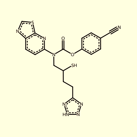 N#Cc1ccc(OC(=O)N(CC(S)CCc2nn[nH]n2)c2ccc3ncsc3n2)cc1